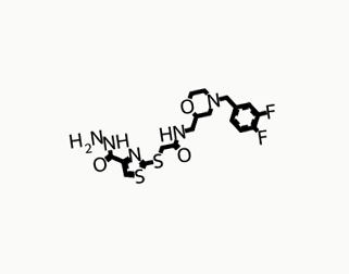 NNC(=O)c1csc(SCC(=O)NCC2CN(Cc3ccc(F)c(F)c3)CCO2)n1